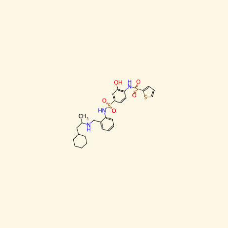 CC(CC1CCCCC1)NCc1ccccc1NS(=O)(=O)c1ccc(NS(=O)(=O)c2cccs2)c(O)c1